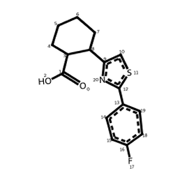 O=C(O)C1CCCCC1c1csc(-c2ccc(F)cc2)n1